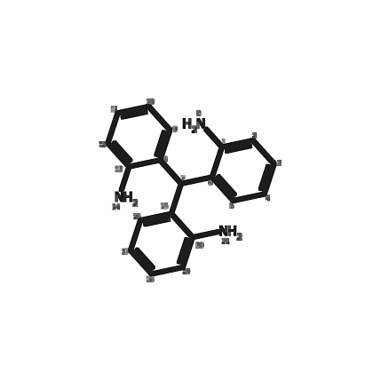 Nc1c[c]ccc1C(c1ccccc1N)c1ccccc1N